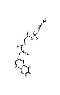 CC(CCNC(=O)Oc1ccc2ccccc2c1)CC(C)(C)CN=C=O